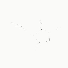 CCNCCN1C(=O)CC(C(C)(C)C)C1=O